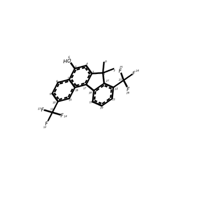 CC1(C)c2cc(O)c3ccc(C(F)(F)F)cc3c2-c2cccc(C(F)(F)F)c21